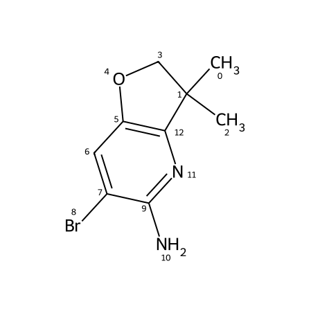 CC1(C)COc2cc(Br)c(N)nc21